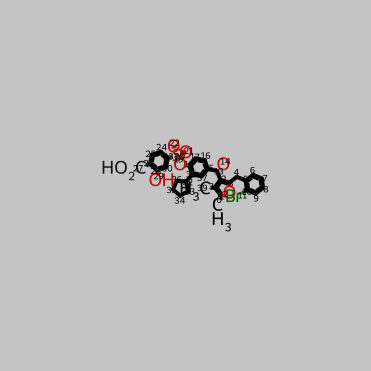 Cc1oc(Cc2ccccc2Br)c(C(=O)c2ccc(OS(=O)(=O)c3ccc(C(=O)O)c(O)c3)c(C3CCCC3)c2)c1C